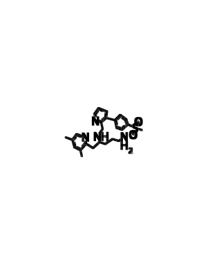 Cc1cnc(CC(CCCN)NCc2ncccc2-c2ccc(S(C)(=O)=O)cc2)c(C)c1